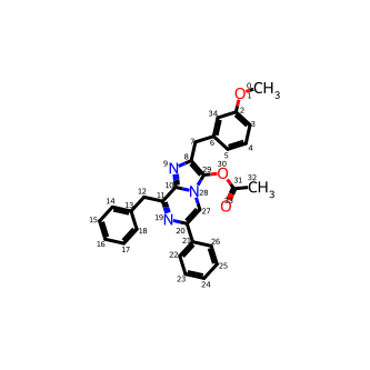 COc1cccc(Cc2nc3c(Cc4ccccc4)nc(-c4ccccc4)cn3c2OC(C)=O)c1